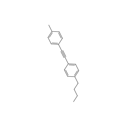 CCCCc1ccc(C#Cc2ccc(C)cc2)cc1